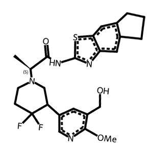 COc1ncc(C2CN([C@@H](C)C(=O)Nc3nc4cc5c(cc4s3)CCC5)CCC2(F)F)cc1CO